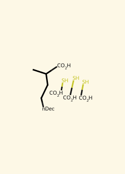 CCCCCCCCCCCCC(C)C(=O)O.O=C(O)S.O=C(O)S.O=C(O)S